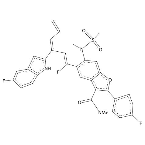 C=C/C=C(\C=C(/F)c1cc2c(C(=O)NC)c(-c3ccc(F)cc3)oc2cc1N(C)S(C)(=O)=O)c1cc2cc(F)ccc2[nH]1